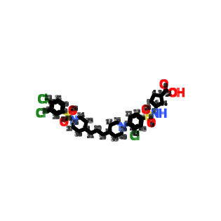 O=C(O)C1CCC(NS(=O)(=O)c2ccc(N3CCC(CCCC4CCN(S(=O)(=O)c5ccc(Cl)c(Cl)c5)CC4)CC3)c(Cl)c2)C1